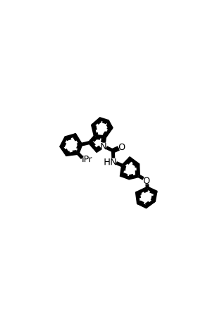 CC(C)c1ccccc1-c1cn(C(=O)Nc2ccc(Oc3ccccc3)cc2)c2ccccc12